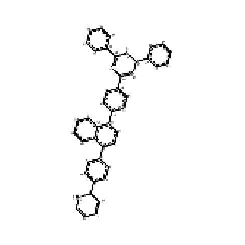 C1=CNC(c2ccc(-c3ccc(-c4ccc(C5=NC(c6ccccc6)NC(c6ccccc6)=N5)cc4)c4ccccc34)cc2)C=C1